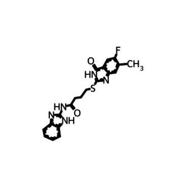 Cc1cc2nc(SCCCC(=O)Nc3nc4ccccc4[nH]3)[nH]c(=O)c2cc1F